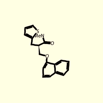 CNC(=O)[C@@H](COc1cccc2ccccc12)Cc1cccs1